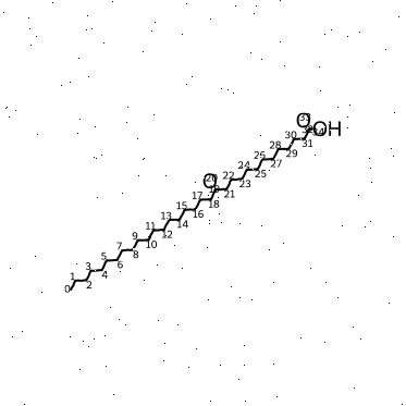 CCCCCCCCCCCCCCCCCCCC(=O)CCCCCCCCCCCC(=O)O